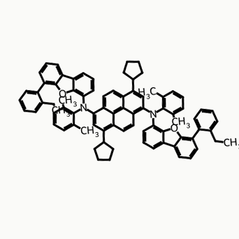 CCc1ccccc1-c1cccc2c1oc1c(N(c3c(C)cccc3C)c3cc(C4CCCC4)c4ccc5c(N(c6c(C)cccc6C)c6cccc7c6oc6c(-c8ccccc8CC)cccc67)cc(C6CCCC6)c6ccc3c4c65)cccc12